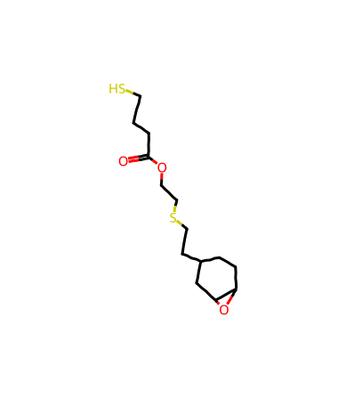 O=C(CCCS)OCCSCCC1CCC2OC2C1